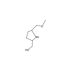 COCC1CCC(CO)N1